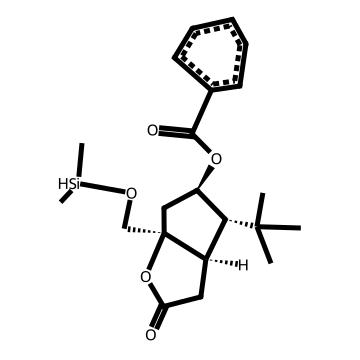 C[SiH](C)OC[C@]12C[C@@H](OC(=O)c3ccccc3)[C@H](C(C)(C)C)[C@H]1CC(=O)O2